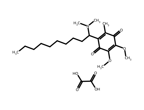 CCCCCCCCCC(C1=C(C)C(=O)C(OC)=C(OC)C1=O)N(C)C.O=C(O)C(=O)O